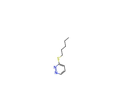 CCCCCSc1cccnn1